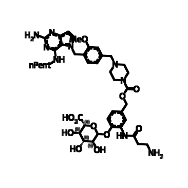 CCCCCNc1nc(N)nc2ccn(Cc3ccc(CN4CCN(C(=O)OCc5ccc(OC6O[C@@H](C(=O)O)[C@H](O)[C@@H](O)[C@@H]6O)c(NC(=O)CCN)c5)CC4)cc3OC)c12